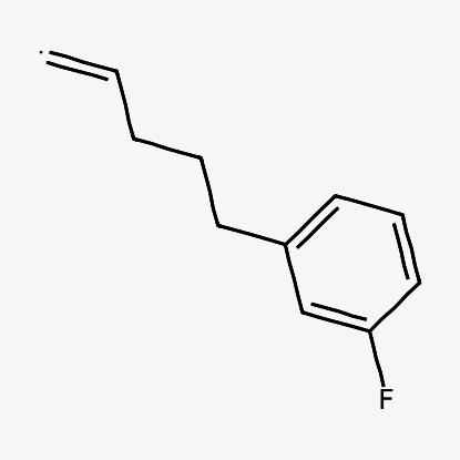 [CH]=CCCCc1cccc(F)c1